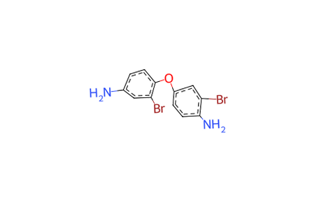 Nc1ccc(Oc2ccc(N)c(Br)c2)c(Br)c1